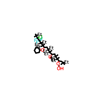 CCOC(CC(C)(CC)C(C)(CC)C(CC(C)(C)CC)OCO)C(C)(CC)C(CC)(CC)CC(OC1CCCCC1)C(C)(CC)C(CC)(CC)C(F)(F)C(F)(Cl)C(C)(C)CC